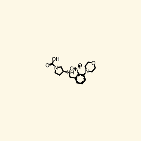 O=C(O)N1CCC(NCc2cccc(N3CCOCC3)c2[N+](=O)[O-])C1